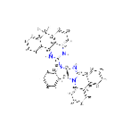 CC1(C)c2ccccc2-c2nc(-n3c4ccccc4c4c3nc3c5ccccc5c5ccccc5n34)nc3cccc1c23